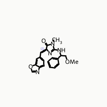 COCC(NC1=N/C(=C\c2ccc3ncoc3c2)C(=O)N1C)c1ccccc1